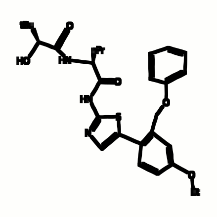 CCC[C@H](NC(=O)[C@@H](O)C(C)(C)C)C(=O)Nc1ncc(-c2ccc(OCC)cc2COc2ccccc2)s1